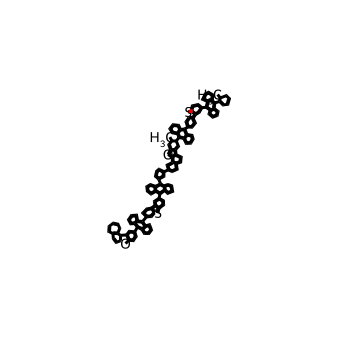 CC1CC=CC=C1c1c2ccccc2c(-c2ccc3sc4cc(-c5c6ccccc6c(C6C=c7c(oc8c7ccc7ccc(-c9cccc(-c%10c%11ccccc%11c(-c%11ccc%12sc%13cc(-c%14c%15ccccc%15c(-c%15ccc%16c(c%15)C%15C%17=C(C=CC=CC%17)C=CC%15O%16)c%15ccccc%14%15)ccc%13c%12c%11)c%11ccccc%10%11)c9)cc78)=CC6C)c6ccccc56)ccc4c3c2)c2ccccc12